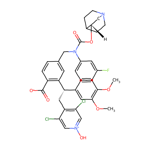 COc1ccc([C@H](Cc2c(Cl)c[n+](O)cc2Cl)c2cc(CN(C(=O)O[C@H]3CN4CCC3CC4)c3cccc(F)c3)ccc2C(=O)[O-])cc1OC